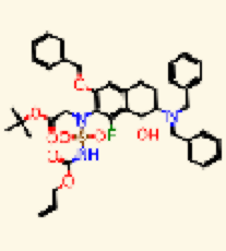 C=CCOC(=O)NS(=O)(=O)N(CC(=O)OC(C)(C)C)c1c(OCc2ccccc2)cc2c(c1F)[C@@H](O)[C@H](N(Cc1ccccc1)Cc1ccccc1)CC2